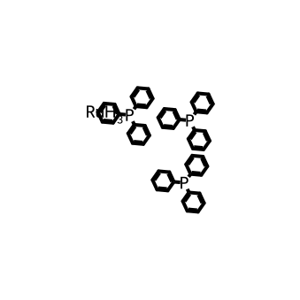 [RuH3].c1ccc(P(c2ccccc2)c2ccccc2)cc1.c1ccc(P(c2ccccc2)c2ccccc2)cc1.c1ccc(P(c2ccccc2)c2ccccc2)cc1